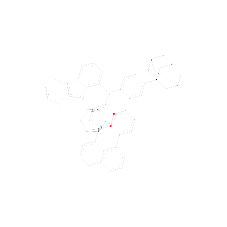 c1ccc(-c2cccc3cccc(-c4ccc(N(c5ccc(C67CC8CC(CC(C8)C6)C7)cc5)c5cccc6c7ccccc7n(-c7ccccc7)c56)cc4)c23)cc1